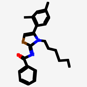 CCCCCCn1c(-c2ccc(C)cc2C)cs/c1=N\C(=O)c1ccccc1